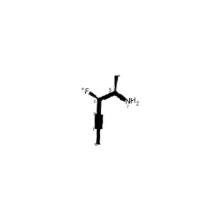 CC#C[C@@H](F)[C@@H](C)N